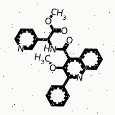 COC(=O)C(NC(=O)c1c(OC)c(-c2ccccc2)nc2ccccc12)c1cccnc1